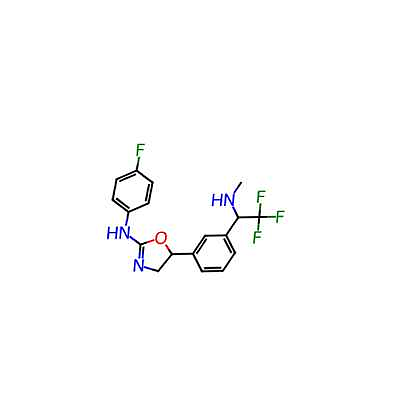 CNC(c1cccc(C2CN=C(Nc3ccc(F)cc3)O2)c1)C(F)(F)F